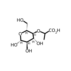 CC(O[C@H]1[C@H](O)[C@@H](O)[C@H](O)O[C@@H]1CO)C(=O)O